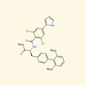 COC(=O)[C@H](Cc1ccc(-c2c(OC)cccc2OC)cc1)NC(=O)c1c(Cl)cc(-c2ccc[nH]2)cc1Cl